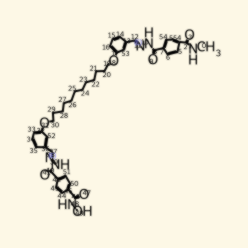 CNC(=O)c1ccc(C(=O)N/N=C/c2cccc(OCCCCCCCCCCCCOc3cccc(/C=N/NC(=O)c4ccc(C(=O)NO)cc4)c3)c2)cc1